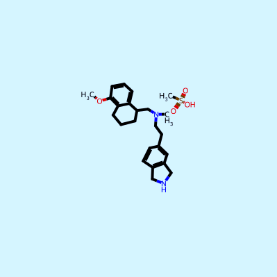 COc1cccc2c1CCCC2CN(C)CCc1ccc2c(c1)CNC2.CS(=O)(=O)O